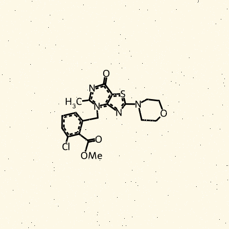 COC(=O)c1c(Cl)cccc1Cn1c(C)nc(=O)c2sc(N3CCOCC3)nc21